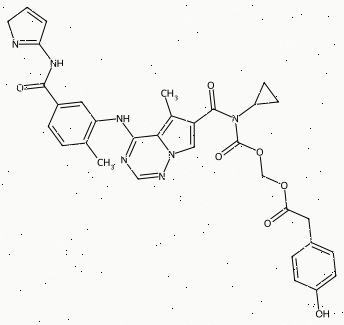 Cc1ccc(C(=O)NC2=NCC=C2)cc1Nc1ncnn2cc(C(=O)N(C(=O)OCOC(=O)Cc3ccc(O)cc3)C3CC3)c(C)c12